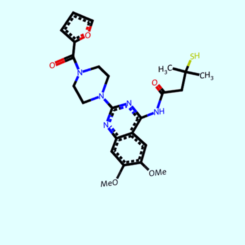 COc1cc2nc(N3CCN(C(=O)c4ccco4)CC3)nc(NC(=O)CC(C)(C)S)c2cc1OC